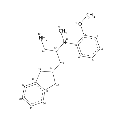 COc1ccccc1N(C)C(CN)CC1Cc2ccccc2C1